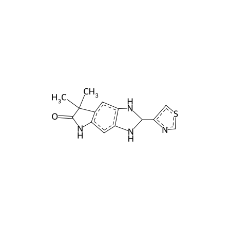 CC1(C)C(=O)Nc2cc3c(cc21)NC(c1cscn1)N3